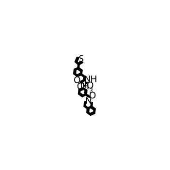 CC12CC(NC(=O)N1c1cccc(C(=O)N3CCc4ccccc4C3)c1)c1cc(-c3ccsc3)ccc1O2